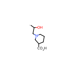 [CH2]C(O)CN1CCCC(C(=O)O)C1